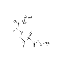 CCCCCNC(=O)[C@@H](C)CC[C@H](C)C(=O)NCCN